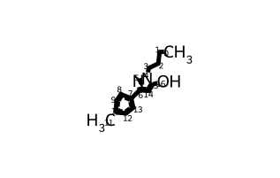 CCCCn1nc(-c2ccc(C)cc2)cc1O